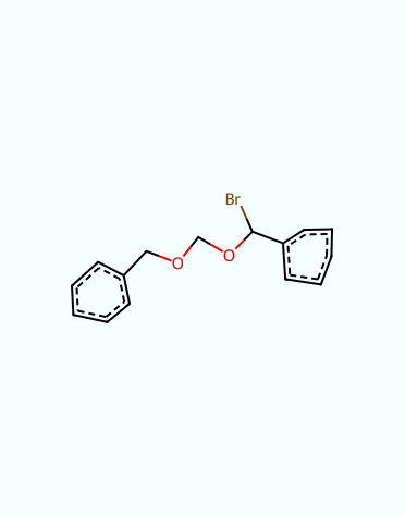 BrC(OCOCc1ccccc1)c1ccccc1